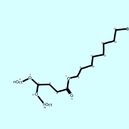 CCCCCCCCOC(CCC(=O)OCCCCCCCCBr)OCCCCCCCC